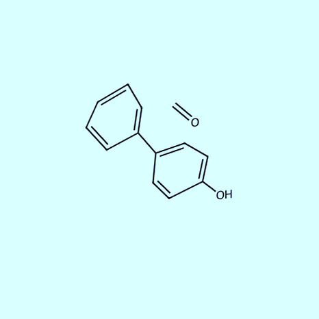 C=O.Oc1ccc(-c2ccccc2)cc1